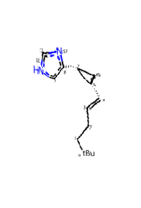 CC(C)(C)CCC=C[C@H]1C[C@H]1c1c[nH]cn1